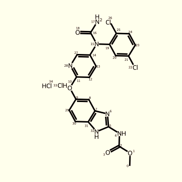 COC(=O)Nc1nc2cc(Oc3ccc(N(C(N)=O)c4cc(Cl)ccc4Cl)cn3)ccc2[nH]1.Cl.Cl